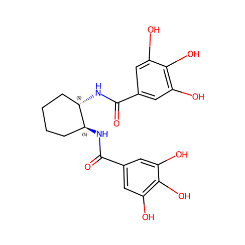 O=C(N[C@H]1CCCC[C@@H]1NC(=O)c1cc(O)c(O)c(O)c1)c1cc(O)c(O)c(O)c1